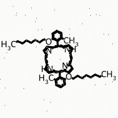 CCCCCCCCOc1cccc(C)c1-c1c2nc(cc3ccc([nH]3)c(-c3c(C)cccc3OCCCCCCCC)c3nc(cc4ccc1[nH]4)C=C3)C=C2